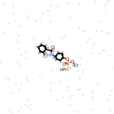 CCCSP(=O)(OCC)Oc1ccc(NC(=O)c2ccccc2Cl)cc1